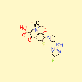 C[C@H]1COc2c(N3CCC(Nc4ncc(F)cn4)C3)c(F)cc3c(=O)c(C(=O)O)cn1c23